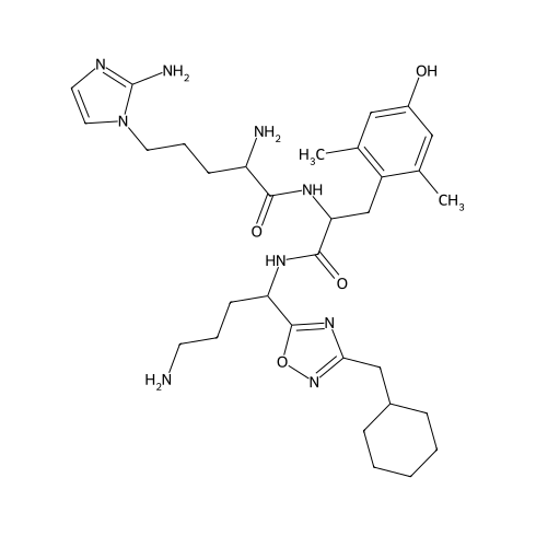 Cc1cc(O)cc(C)c1CC(NC(=O)C(N)CCCn1ccnc1N)C(=O)NC(CCCN)c1nc(CC2CCCCC2)no1